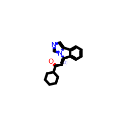 O=C(/C=c1/c2ccccc2c2cncn12)C1CCCCC1